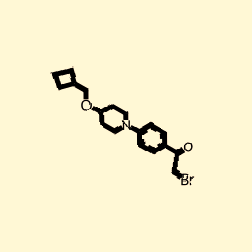 O=C(CBr)c1ccc(N2CCC(OCC3CCC3)CC2)cc1